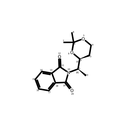 C[C@H]([C@@H]1CCOC(C)(C)O1)N1C(=O)c2ccccc2C1=O